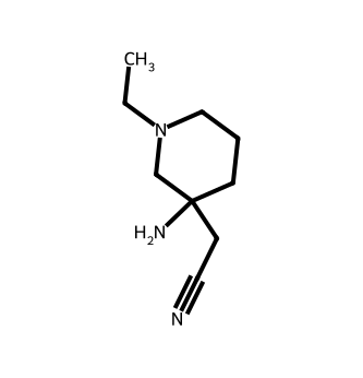 CCN1CCCC(N)(CC#N)C1